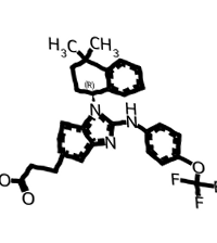 CC1(C)CC[C@@H](n2c(Nc3ccc(OC(F)(F)F)cc3)nc3cc(CCC(=O)O)ccc32)c2ccccc21